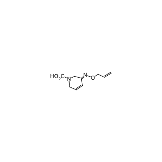 C=CCON=C1C=CCN(C(=O)O)C1